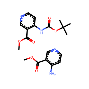 COC(=O)c1cnccc1N.COC(=O)c1cnccc1NC(=O)OC(C)(C)C